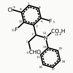 O=CCC(c1c(F)ccc(Cl)c1F)N(C(=O)O)c1ccccc1